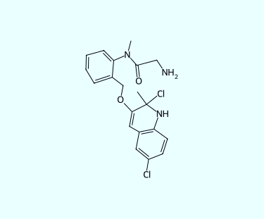 CN(C(=O)CN)c1ccccc1COC1=Cc2cc(Cl)ccc2NC1(C)Cl